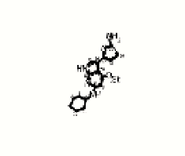 CCOc1cc(NC2CCCCC2)nc2[nH]cc(-c3ccnc(N)n3)c12